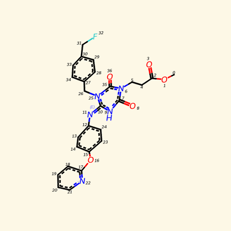 COC(=O)CCn1c(=O)[nH]/c(=N\c2ccc(Oc3ccccn3)cc2)n(Cc2ccc(CF)cc2)c1=O